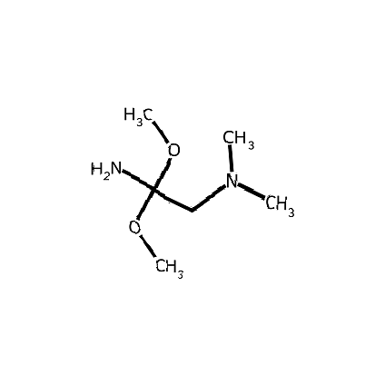 COC(N)(CN(C)C)OC